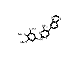 COc1cc(Nc2ncc(-c3ccc4nccnc4c3)c(N)n2)cc(OC)c1OC